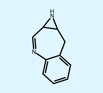 C1=Nc2ccccc2CC2NC12